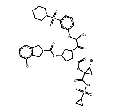 CC[C@@H]1C[C@]1(NC(=O)[C@@H]1C[C@@H](OC(=O)N2Cc3cccc(Cl)c3C2)CN1C(=O)[C@@H](Nc1cccc(S(=O)(=O)N2CCOCC2)c1)C(C)(C)C)C(=O)NS(=O)(=O)C1CC1